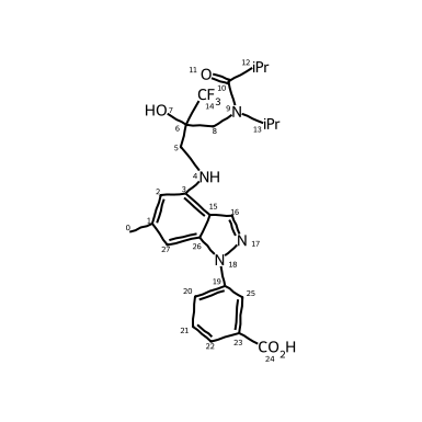 Cc1cc(NCC(O)(CN(C(=O)C(C)C)C(C)C)C(F)(F)F)c2cnn(-c3cccc(C(=O)O)c3)c2c1